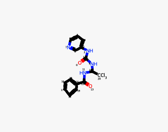 O=C(Nc1cccnc1)NC(NC(=O)c1ccccc1)C(Cl)(Cl)Cl